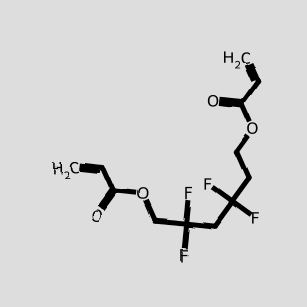 C=CC(=O)OCCC(F)(F)CC(F)(F)COC(=O)C=C